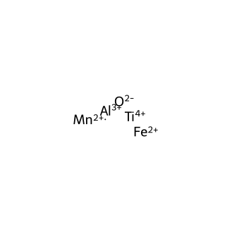 [Al+3].[Fe+2].[Mn+2].[O-2].[Ti+4]